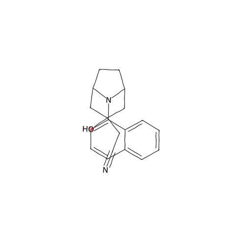 N#CCC1(O)CC2CCC(C1)N2c1cccc2ccccc12